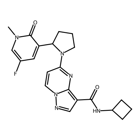 Cn1cc(F)cc(C2CCCN2c2ccn3ncc(C(=O)NC4CCC4)c3n2)c1=O